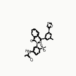 CC(=O)Nc1ccc(S(C)(=O)=O)c(-n2nc(-c3cc(C)cc(-c4cnco4)c3)c3ccccc3c2=O)c1